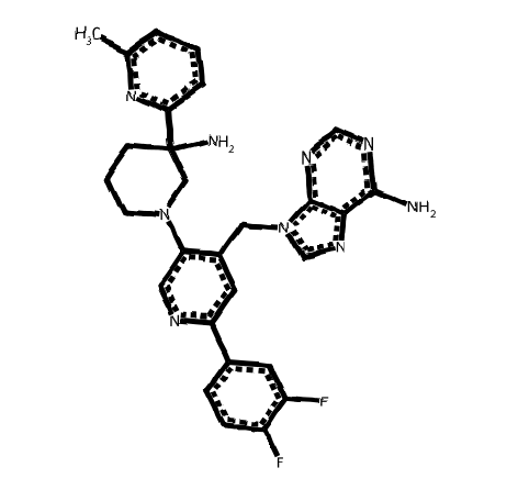 Cc1cccc(C2(N)CCCN(c3cnc(-c4ccc(F)c(F)c4)cc3Cn3cnc4c(N)ncnc43)C2)n1